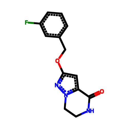 O=C1NCCn2nc(OCc3cccc(F)c3)cc21